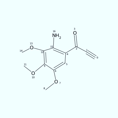 C#CC(=O)c1cc(OC)c(OC)c(OC)c1N